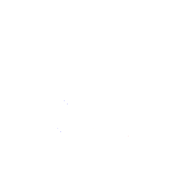 CCCC=C(Sc1nccn1C)C(=O)O